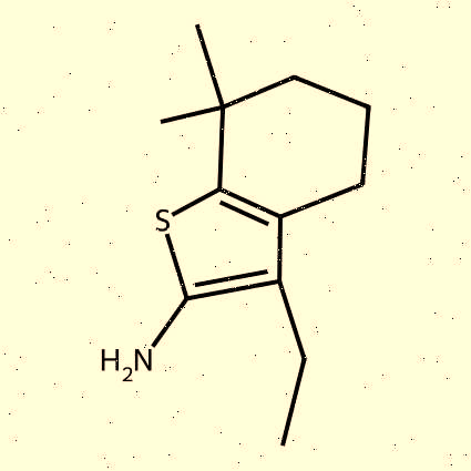 CCc1c(N)sc2c1CCCC2(C)C